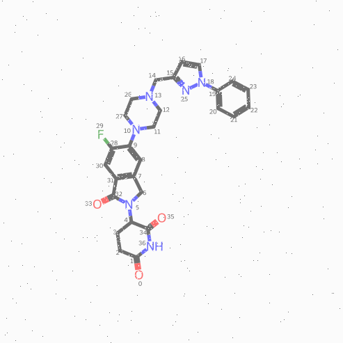 O=C1CCC(N2Cc3cc(N4CCN(Cc5ccn(-c6ccccc6)n5)CC4)c(F)cc3C2=O)C(=O)N1